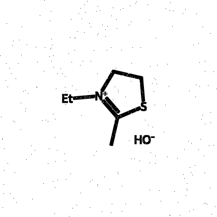 CC[N+]1=C(C)SCC1.[OH-]